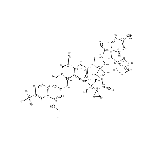 CCOC(=O)c1cc(C(F)(F)F)ccc1C1CCN(C(=O)[C@@H](NC(=O)[C@@H]2CN(C(=O)C3(CC45CCC(CC4)OC5)C=NC(O)=CN3)CC23CN(C(=O)C2(C(F)(F)F)CC2)C3)[C@@H](C)O)CC1